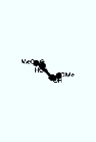 COc1ccc(C2=CC(O)(C#CC#Cc3ccc(O)c(-c4ccc(OC)cc4)c3)C=CC2=O)cc1